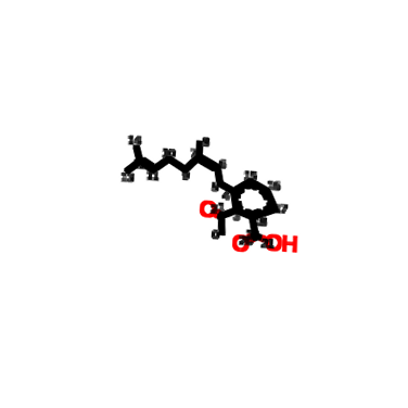 CC(=O)c1c(CC=C(C)CCC=C(C)C)cccc1C(=O)O